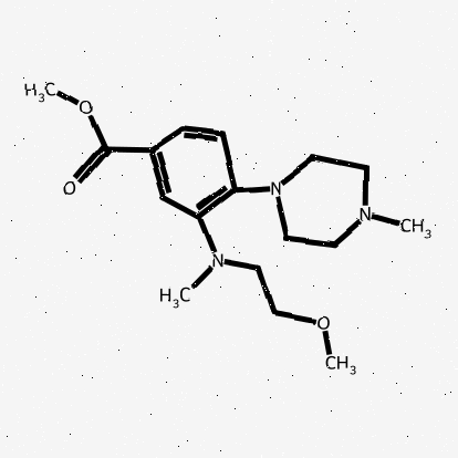 COCCN(C)c1cc(C(=O)OC)ccc1N1CCN(C)CC1